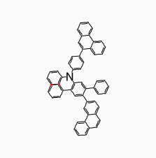 c1ccc(-c2cc(N(c3ccccc3)c3ccc(-c4cc5ccccc5c5ccccc45)cc3)c(-c3ccccc3)cc2-c2ccc3ccc4ccccc4c3c2)cc1